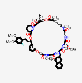 CCCC[C@H]1C(=O)N[C@@H](Cc2ccc3ccccc3c2)C(=O)N(C)[C@@H](COC(C)(C)C)C(=O)NCC(=O)N(C)CCCC(C)C(=O)OCC(C)(C)C(=O)C(=O)N2CCCC[C@H]2C(=O)O[C@H](CCc2cc(OC)c(OC)cc2F)c2cccc(c2)OCC(=O)N1C